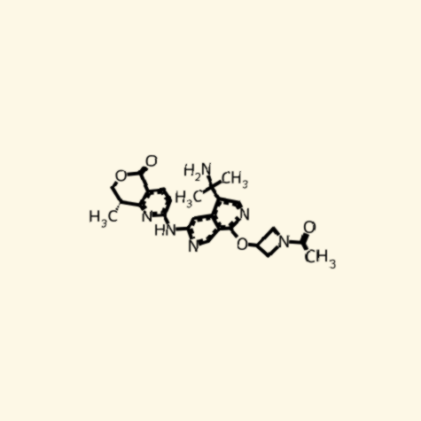 CC(=O)N1CC(Oc2ncc(C(C)(C)N)c3cc(Nc4ccc5c(n4)[C@H](C)COC5=O)ncc23)C1